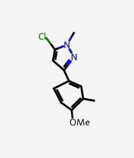 COc1ccc(-c2cc(Cl)n(C)n2)cc1C